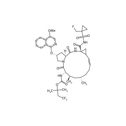 COc1cnc(O[C@@H]2C[C@H]3C(=O)N[C@]4(C(=O)NS(=O)(=O)C5(CF)CC5)CC4/C=C\CC[C@H](C)C[C@@H](C)[C@H](NC(=O)OC(C)(C)CC(F)(F)F)C(=O)N3C2)c2ccccc12